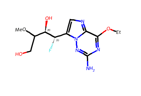 CCOc1nc(N)nn2c([C@H](F)[C@H](O)C(CO)OC)cnc12